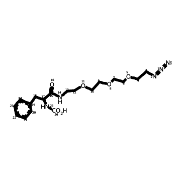 [N-]=[N+]=NCCOCCOCCOCCNC(=O)C(Cc1ccccc1)NC(=O)O